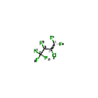 FC(F)=C(Cl)C(F)C(F)(F)F